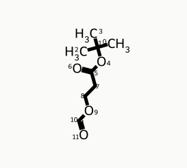 CC(C)(C)OC(=O)CCO[C]=O